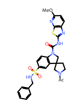 COc1ccc2nc(NC(=O)N3CC4(CCN(C(C)=O)C4)c4cc(S(=O)(=O)NCc5ccccc5)ccc43)sc2n1